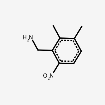 Cc1ccc([N+](=O)[O-])c(CN)c1C